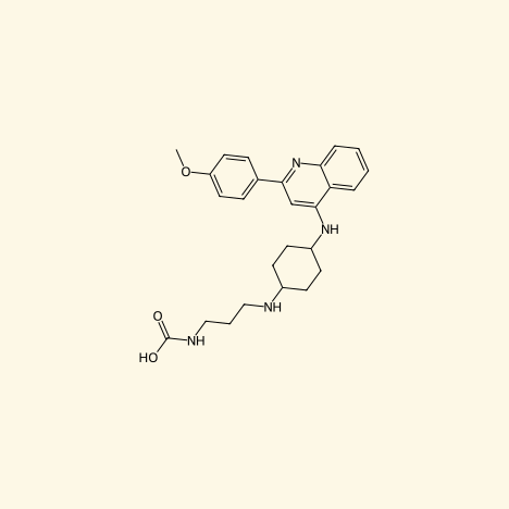 COc1ccc(-c2cc(NC3CCC(NCCCNC(=O)O)CC3)c3ccccc3n2)cc1